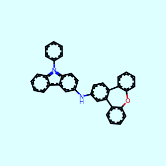 c1ccc(-n2c3ccccc3c3cc(Nc4ccc5c(c4)-c4ccccc4Oc4ccccc4-5)ccc32)cc1